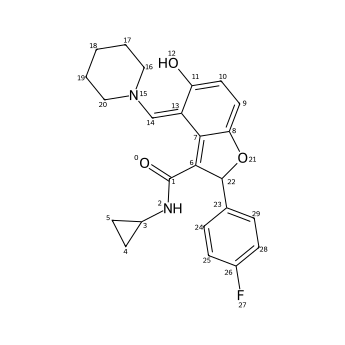 O=C(NC1CC1)C1=c2c(ccc(O)c2=CN2CCCCC2)OC1c1ccc(F)cc1